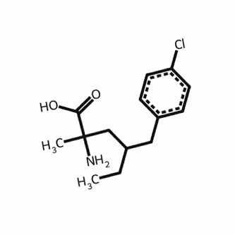 CCC(Cc1ccc(Cl)cc1)CC(C)(N)C(=O)O